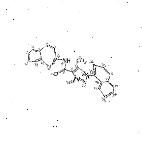 Cc1c(C(=O)Nc2ccc3ccccc3n2)nnn1-c1cccc2ccccc12